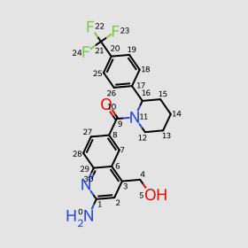 Nc1cc(CO)c2cc(C(=O)N3CCCCC3c3ccc(C(F)(F)F)cc3)ccc2n1